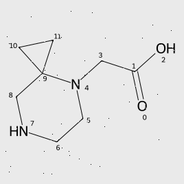 O=C(O)CN1CCNCC12CC2